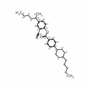 CCCCCC1CCC(c2ccc(C(=O)Oc3ccc(C(C)CCCC)cc3C#N)cc2)CC1